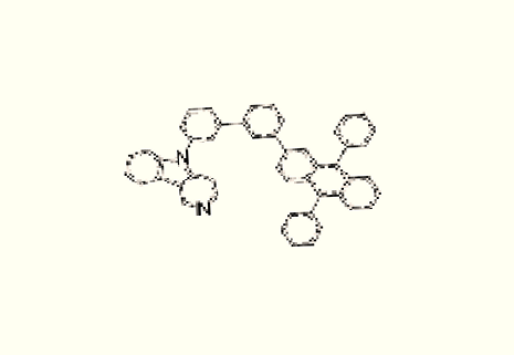 c1ccc(-c2c3ccccc3c(-c3ccccc3)c3cc(-c4cccc(-c5cccc(-n6c7ccccc7c7cnccc76)c5)c4)ccc23)cc1